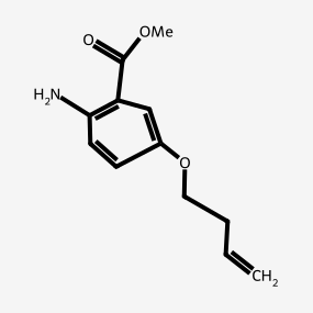 C=CCCOc1ccc(N)c(C(=O)OC)c1